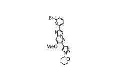 COc1cc2nc(-c3cccc(Br)n3)cn2nc1-c1cnn(C2CCCCO2)c1